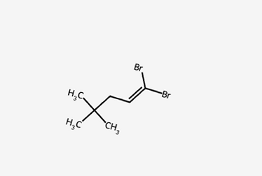 CC(C)(C)CC=C(Br)Br